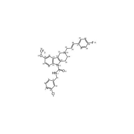 O=C(NCc1ccnc(Cl)c1)n1c2c(c3cc(OC(F)(F)F)ccc31)CN(C/C=C/c1ccc(F)cc1)CC2